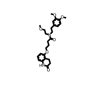 COCCN(CCc1ccc(OC)c(OC)c1)C(=O)CCCOc1cccc2c1CCC(=O)N2